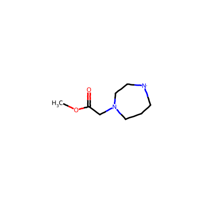 COC(=O)CN1CCC[N]CC1